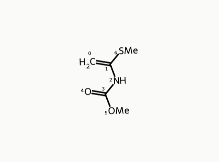 C=C(NC(=O)OC)SC